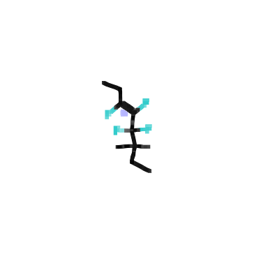 CC/C(F)=C(\F)C(F)(F)C(C)(C)CC